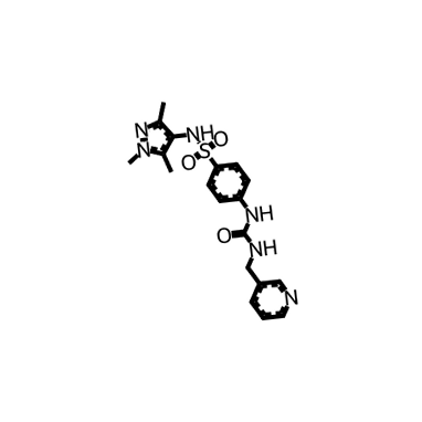 Cc1nn(C)c(C)c1NS(=O)(=O)c1ccc(NC(=O)NCc2cccnc2)cc1